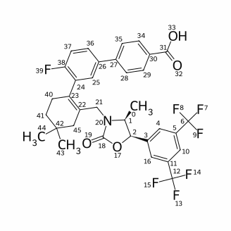 C[C@H]1[C@@H](c2cc(C(F)(F)F)cc(C(F)(F)F)c2)OC(=O)N1CC1=C(c2cc(-c3ccc(C(=O)O)cc3)ccc2F)CCC(C)(C)C1